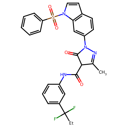 CCC(F)(F)c1cccc(NC(=O)C2C(=O)N(c3ccc4ccn(S(=O)(=O)c5ccccc5)c4c3)N=C2C)c1